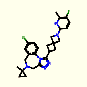 CC1=C(F)C=CC(N2CC3(CC(c4nnc5n4-c4ccc(Cl)cc4CN(C4(C)CC4)C5)C3)C2)N1